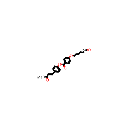 COC(=O)/C=C/c1ccc(OC(=O)c2ccc(OCCCCC[Si][O])cc2)cc1